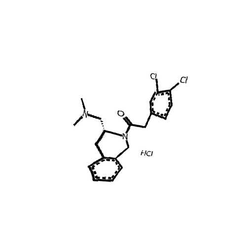 CN(C)C[C@H]1Cc2ccccc2CN1C(=O)Cc1ccc(Cl)c(Cl)c1.Cl